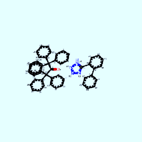 O=C(C(c1ccccc1)(c1ccccc1)c1ccccc1)C(c1ccccc1)(c1ccccc1)c1ccccc1.c1ccc(-c2ccccc2-c2nnn[nH]2)cc1